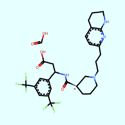 O=C(O)CC(NC(=O)[C@@H]1CCCN(CCCc2ccc3c(n2)NCCC3)C1)c1cc(C(F)(F)F)cc(C(F)(F)F)c1.O=CO